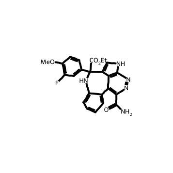 CCOC(=O)C1(c2ccc(OC)c(F)c2)Nc2ccccc2-c2c(C(N)=O)nnc3[nH]cc1c23